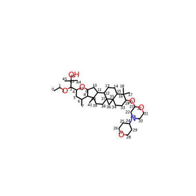 CCOC(C1CC(C)C2C(CC3C4CCC5C(C)(C)C(OC6CN(C7CCOCC7)CCO6)CCC56CC46CCC32C)O1)C(C)(C)O